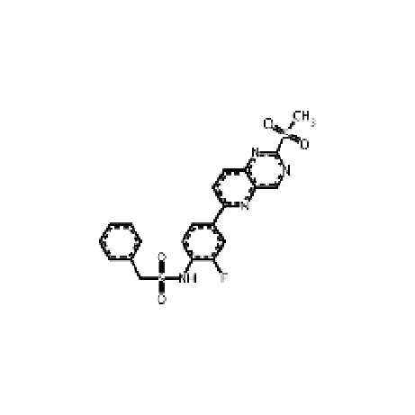 CS(=O)(=O)c1ncc2nc(-c3ccc(NS(=O)(=O)Cc4ccccc4)c(F)c3)ccc2n1